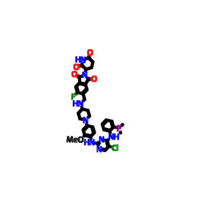 COc1cc(N2CCC(NCc3cc4c(cc3F)C(=O)N(C3CCC(=O)NC3=O)C4=O)CC2)ccc1Nc1ncc(Cl)c(Nc2ccccc2P(C)C)n1